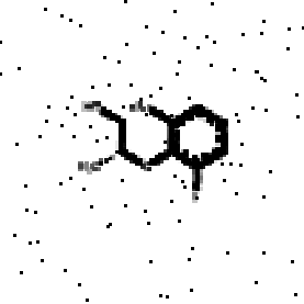 CCCCc1cccc(F)c1O[C@H](C)CO